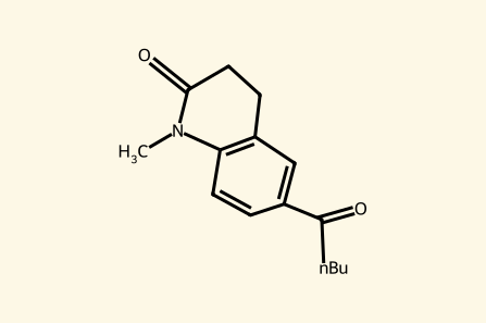 CCCCC(=O)c1ccc2c(c1)CCC(=O)N2C